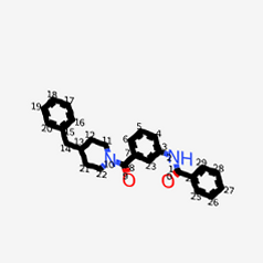 O=C(Nc1cccc(C(=O)N2CCC(Cc3ccccc3)CC2)c1)c1ccccc1